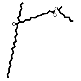 CCCCCCCCCCCCCCCCCC(=O)C(CCCCCC)CCCCCCCCCCC(=O)OC(C)CCCCCC